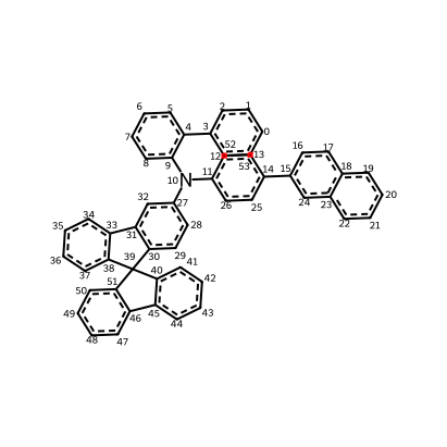 c1ccc(-c2ccccc2N(c2ccc(-c3ccc4ccccc4c3)cc2)c2ccc3c(c2)-c2ccccc2C32c3ccccc3-c3ccccc32)cc1